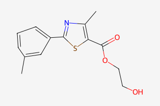 Cc1cccc(-c2nc(C)c(C(=O)OCCO)s2)c1